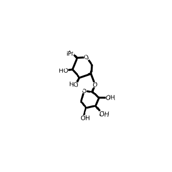 CC(C)C1OCC(OC2OCC(O)C(O)C2O)C(O)C1O